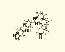 c1cc(-c2nc(NC3CCNCC34CC4)c3c(C4CC4)cncc3n2)cc(Nc2ccn3nccc3c2)n1